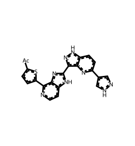 CC(=O)c1ccc(-c2nccc3[nH]c(-c4n[nH]c5ccc(-c6cn[nH]c6)nc45)nc23)s1